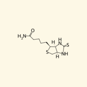 NC(=O)CCCC[C@@H]1SC[C@@H]2NC(=S)N[C@@H]21